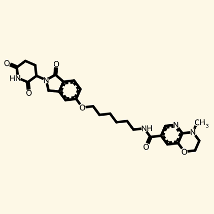 CN1CCOc2cc(C(=O)NCCCCCCOc3ccc4c(c3)CN(C3CCC(=O)NC3=O)C4=O)cnc21